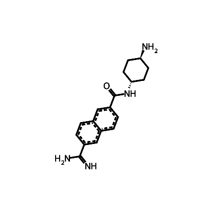 N=C(N)c1ccc2cc(C(=O)N[C@H]3CC[C@H](N)CC3)ccc2c1